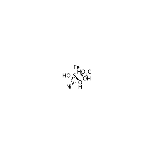 O=C(O)O.O=S(=O)(O)O.[Fe].[Ni].[V]